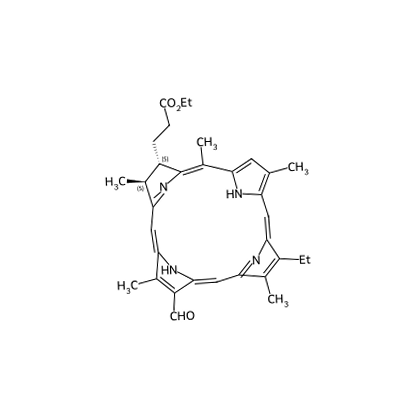 CCOC(=O)CC[C@@H]1c2nc(cc3[nH]c(cc4nc(cc5[nH]c(cc5C)c2C)C(CC)=C4C)c(C=O)c3C)[C@H]1C